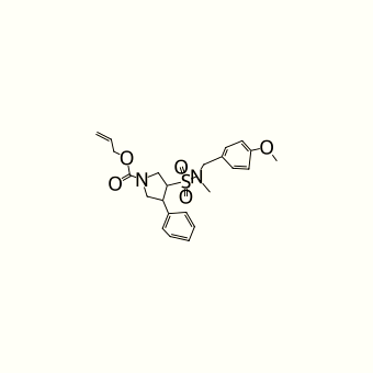 C=CCOC(=O)N1CC(c2ccccc2)C(S(=O)(=O)N(C)Cc2ccc(OC)cc2)C1